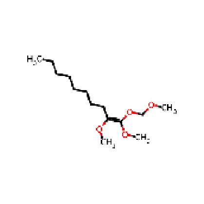 CCCCCCCCC(OC)=C(OC)OCOC